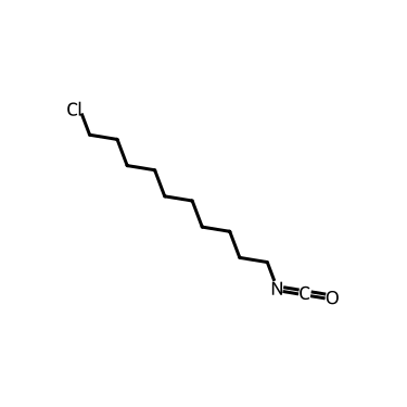 O=C=NCCCCCCCCCCCl